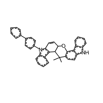 CC1(C)c2ccc3[nH]c4ccccc4c3c2OC2C=Cc3c(c4ccccc4n3-c3ccc(-c4ccccc4)cc3)C21